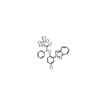 CCS(=O)(=O)NC(=O)C(Oc1ccc(Cl)cc1-n1nc2ccccc2n1)c1ccccc1